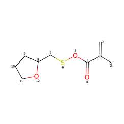 C=C(C)C(=O)OSCC1CCCO1